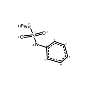 CCCCCS(=O)(=O)[N]c1ccccc1